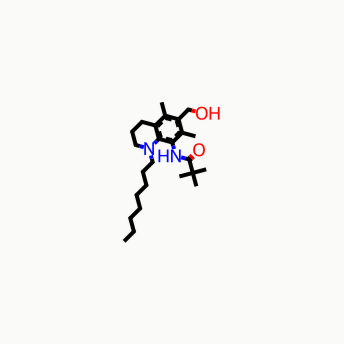 CCCCCCCCN1CCCc2c(C)c(CO)c(C)c(NC(=O)C(C)(C)C)c21